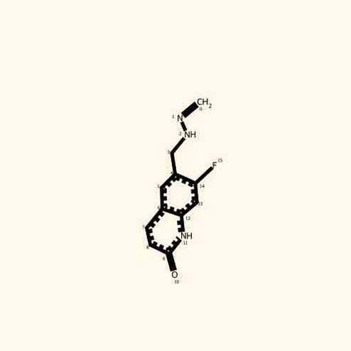 C=NNCc1cc2ccc(=O)[nH]c2cc1F